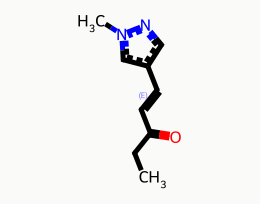 CCC(=O)/C=C/c1cnn(C)c1